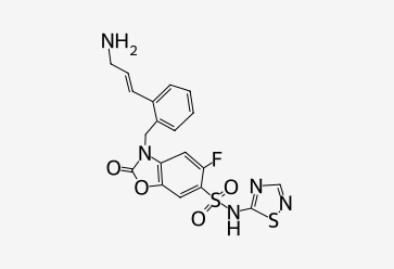 NC/C=C/c1ccccc1Cn1c(=O)oc2cc(S(=O)(=O)Nc3ncns3)c(F)cc21